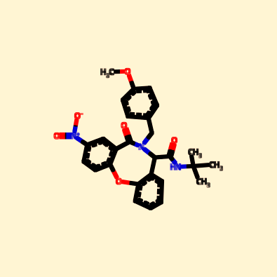 COc1ccc(CN2C(=O)c3cc([N+](=O)[O-])ccc3Oc3ccccc3C2C(=O)NC(C)(C)C)cc1